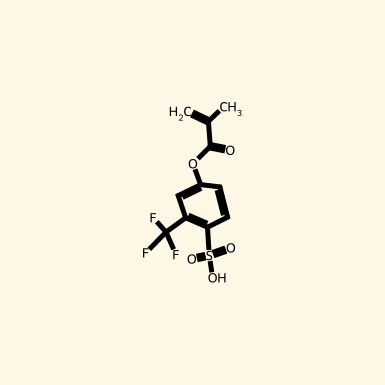 C=C(C)C(=O)Oc1ccc(S(=O)(=O)O)c(C(F)(F)F)c1